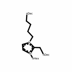 CCCCCCCCCCCCCCn1cc[n+](CCCCCC)c1CCCCCCCCCCC